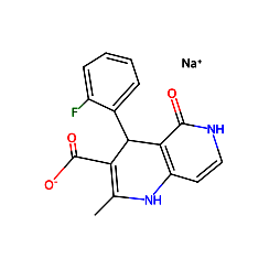 CC1=C(C(=O)[O-])C(c2ccccc2F)c2c(cc[nH]c2=O)N1.[Na+]